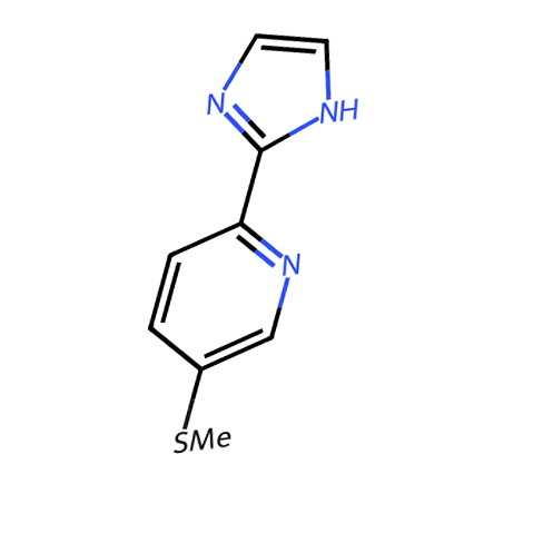 CSc1ccc(-c2ncc[nH]2)nc1